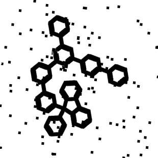 c1ccc(-c2ccc(-c3cc(-c4ccccc4)nc(-c4cccc(-c5cccc(C6(c7ccccc7)c7ccccc7-c7ccccc76)c5)c4)n3)cc2)cc1